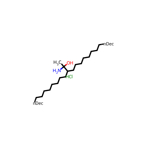 CCCCCCCCCCCCCCCCCCC(CCCCCCCCCCCCCCCCCC)C(C)(N)O.Cl